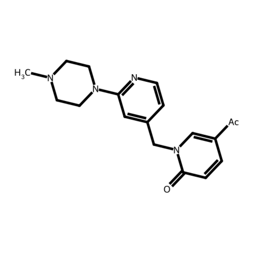 CC(=O)c1ccc(=O)n(Cc2ccnc(N3CCN(C)CC3)c2)c1